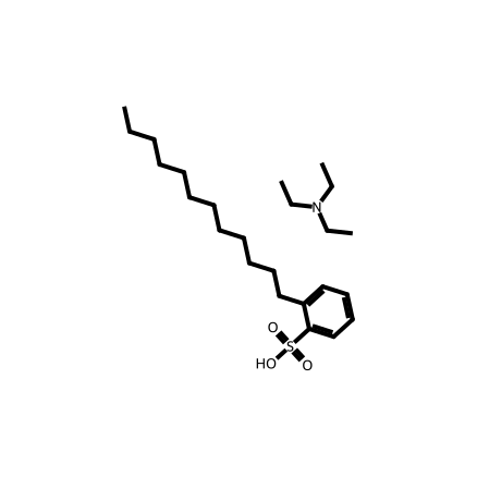 CCCCCCCCCCCCc1ccccc1S(=O)(=O)O.CCN(CC)CC